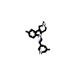 Cc1cncc(/C=C/n2c3c(c4cc(C)ccc42)CN(C)CC3)c1